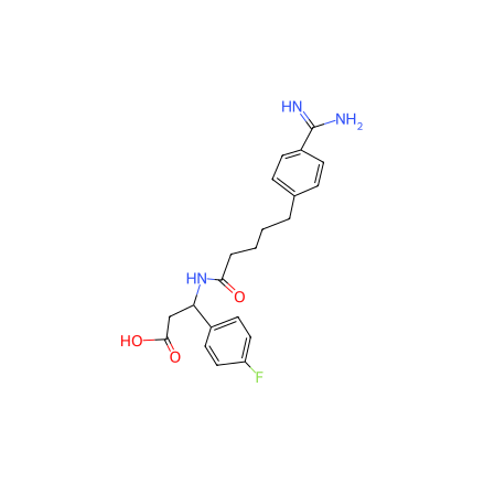 N=C(N)c1ccc(CCCCC(=O)NC(CC(=O)O)c2ccc(F)cc2)cc1